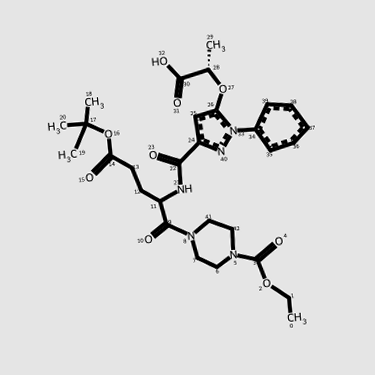 CCOC(=O)N1CCN(C(=O)C(CCC(=O)OC(C)(C)C)NC(=O)c2cc(O[C@@H](C)C(=O)O)n(-c3ccccc3)n2)CC1